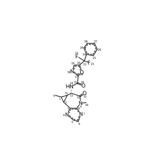 CC1C2c3nccnc3N(C)C(=O)[C@@H](NC(=O)c3ncc(C(F)(F)c4ccccc4)o3)C12